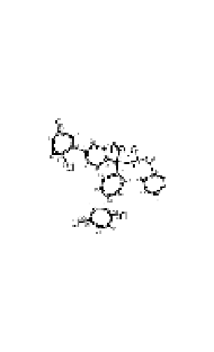 C=CC(SC(Oc1ccccc1)C(=O)O)(c1ccc(-c2cc(Cl)ccc2Cl)cc1)c1ccc(-c2cc(Cl)ccc2Cl)cc1